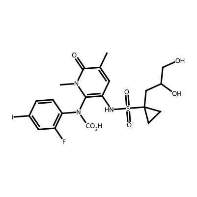 Cc1cc(NS(=O)(=O)C2(CC(O)CO)CC2)c(N(C(=O)O)c2ccc(I)cc2F)n(C)c1=O